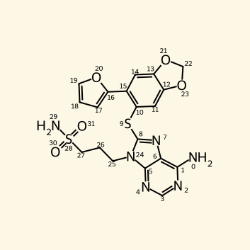 Nc1ncnc2c1nc(Sc1cc3c(cc1-c1ccco1)OCO3)n2CCCS(N)(=O)=O